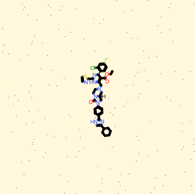 CCOC(=O)C1=C(CN2CCN3C(=O)N(c4ccc(-c5nc(C6CCCCC6)c[nH]5)cc4)C[C@@H]3C2)NC(c2nccs2)=N[C@H]1c1ccc(F)cc1Cl